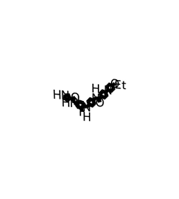 CCOC1CCN(c2ccc(C(=O)Nc3ccc(Nc4ccc(NC(=O)c5cc[nH]c5)cc4F)cc3)cc2)CC1